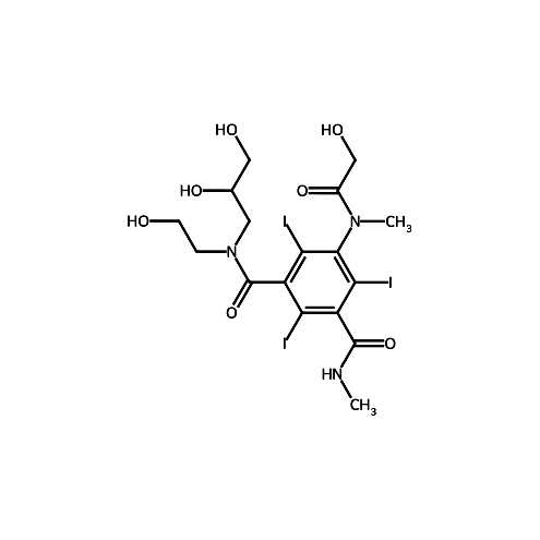 CNC(=O)c1c(I)c(C(=O)N(CCO)CC(O)CO)c(I)c(N(C)C(=O)CO)c1I